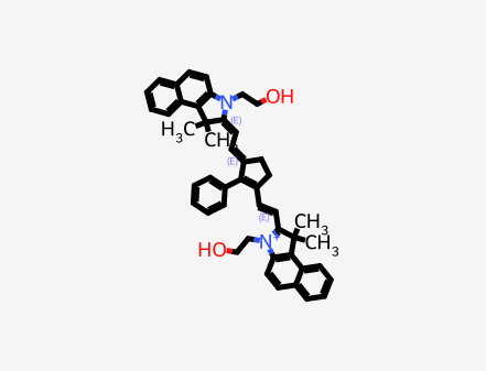 CC1(C)C(/C=C/C2=C(c3ccccc3)C(=C/C=C3/N(CCO)c4ccc5ccccc5c4C3(C)C)/CC2)=[N+](CCO)c2ccc3ccccc3c21